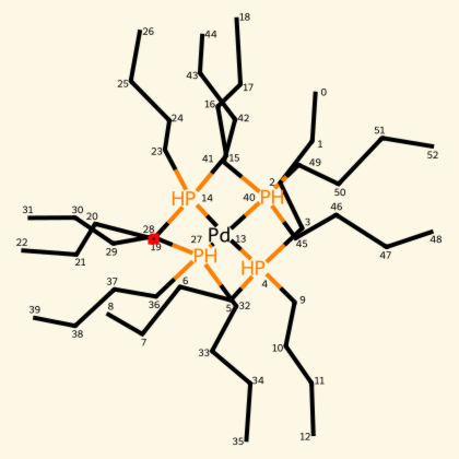 CCCC[PH](CCCC)(CCCC)[Pd]([PH](CCCC)(CCCC)CCCC)([PH](CCCC)(CCCC)CCCC)[PH](CCCC)(CCCC)CCCC